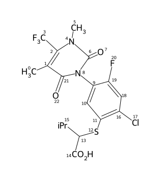 Cc1c(C(F)(F)F)n(C)c(=O)n(-c2cc(SC(C(=O)O)C(C)C)c(Cl)cc2F)c1=O